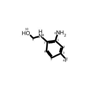 Nc1cc(F)ccc1NCO